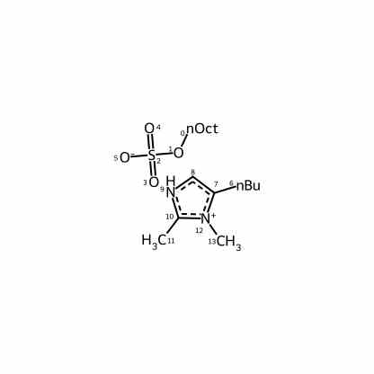 CCCCCCCCOS(=O)(=O)[O-].CCCCc1c[nH]c(C)[n+]1C